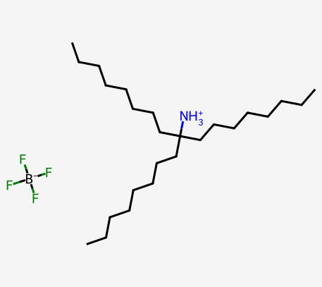 CCCCCCCCC([NH3+])(CCCCCCCC)CCCCCCCC.F[B-](F)(F)F